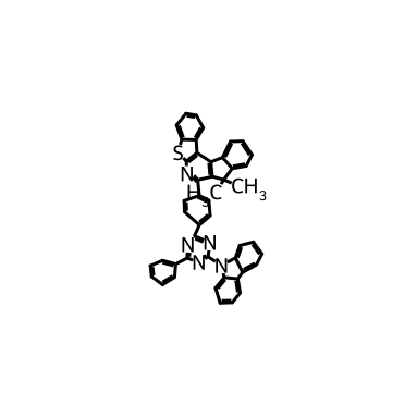 CC1(C)c2ccccc2-c2c1c(-c1ccc(-c3nc(-c4ccccc4)nc(-n4c5ccccc5c5ccccc54)n3)cc1)nc1sc3ccccc3c21